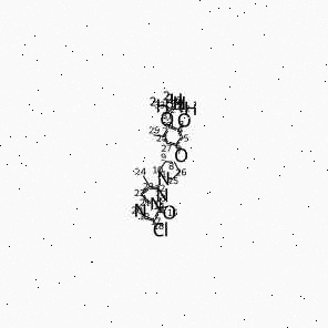 [2H]C1([2H])Oc2cc(OC3CCN(c4nn5c(=O)c(Cl)cnc5cc4C)CC3)cc(C)c2OC1([2H])[2H]